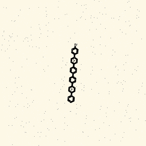 Brc1ccc(C23CCC(c4ccc(-c5ccc(C67CCC(c8ccccc8)(CC6)CC7)cc5)cc4)(CC2)CC3)cc1